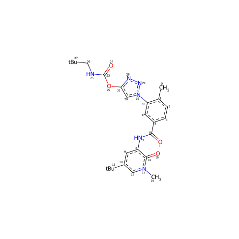 Cc1ccc(C(=O)Nc2cc(C(C)(C)C)cn(C)c2=O)cc1-n1cc(OC(=O)NCC(C)(C)C)nn1